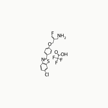 NCC(=CF)COc1ccc(-c2nc3ccc(Cl)cc3s2)cc1.O=C(O)C(F)(F)F